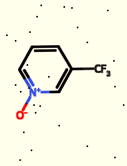 [O-][n+]1cccc(C(F)(F)F)c1